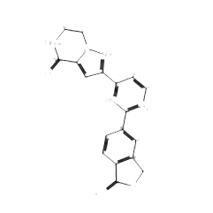 O=C1OCc2cc(-c3nccc(-c4cc5n(n4)CCNC5=O)n3)ccc21